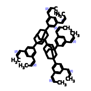 C/C=C\c1cc(/C=C\C)cc(C23CC4CC(c5cc(/C=C\C)cc(/C=C\C)c5)(C2)CC(C25CC6CC(c7cc(/C=C\C)cc(/C=C\C)c7)(CC(c7cc(/C=C\C)cc(/C=C\C)c7)(C6)C2)C5)(C4)C3)c1